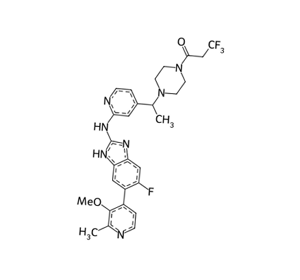 COc1c(-c2cc3[nH]c(Nc4cc(C(C)N5CCN(C(=O)CC(F)(F)F)CC5)ccn4)nc3cc2F)ccnc1C